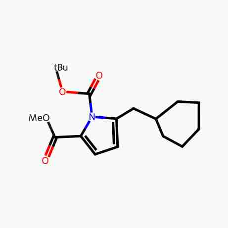 COC(=O)c1ccc(CC2CCCCC2)n1C(=O)OC(C)(C)C